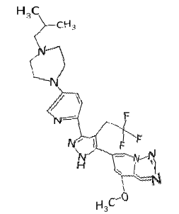 COc1cc(-c2[nH]nc(-c3ccc(N4CCN(CC(C)C)CC4)cn3)c2CC(F)(F)F)cn2ncnc12